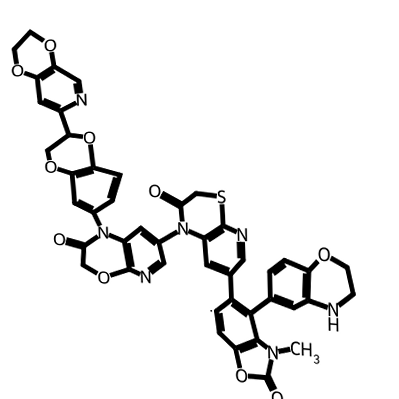 Cn1c(=O)oc2c[c]c(-c3cnc4c(c3)N(c3cnc5c(c3)N(c3ccc6c(c3)OCC(c3cc7c(cn3)OCCO7)O6)C(=O)CO5)C(=O)CS4)c(-c3ccc4c(c3)NCCO4)c21